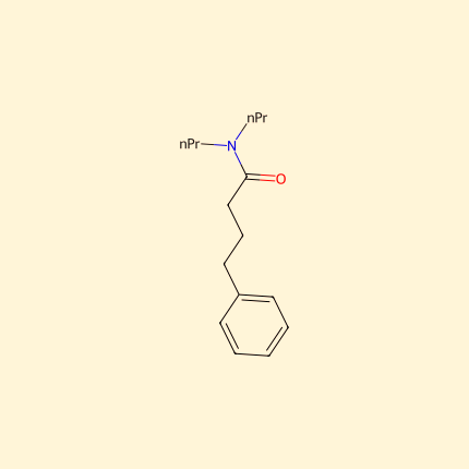 CCCN(CCC)C(=O)CCCc1ccccc1